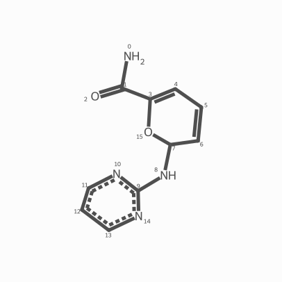 NC(=O)C1=CC=CC(Nc2ncccn2)O1